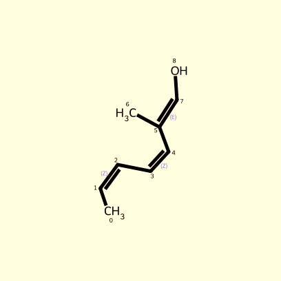 C\C=C/C=C\C(C)=C\O